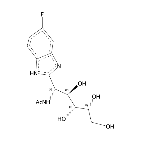 CC(=O)N[C@H](c1nc2cc(F)ccc2[nH]1)[C@@H](O)[C@@H](O)[C@H](O)CO